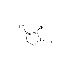 OC1=S(O)CCN1O